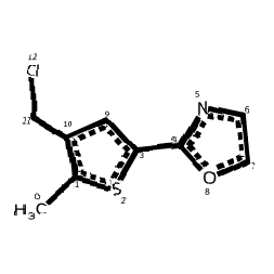 Cc1sc(-c2ncco2)cc1CCl